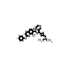 CN(C)CC1CC(C2=C3C=NC=C[N+]3(N)C(c3ccc4ccc(Oc5ccccc5)nc4c3Cl)=N2)C1